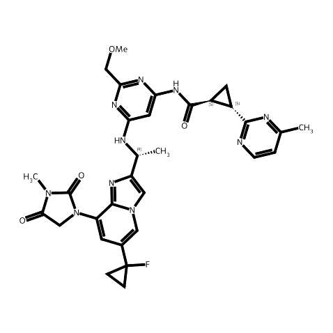 COCc1nc(NC(=O)[C@H]2C[C@@H]2c2nccc(C)n2)cc(N[C@H](C)c2cn3cc(C4(F)CC4)cc(N4CC(=O)N(C)C4=O)c3n2)n1